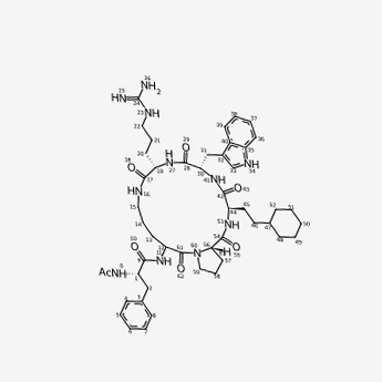 CC(=O)N[C@@H](Cc1ccccc1)C(=O)NC1CCCNC(=O)[C@H](CCCNC(=N)N)NC(=O)[C@H](Cc2c[nH]c3ccccc23)NC(=O)[C@@H](CCC2CCCCC2)NC(=O)[C@@H]2CCCN2C1=O